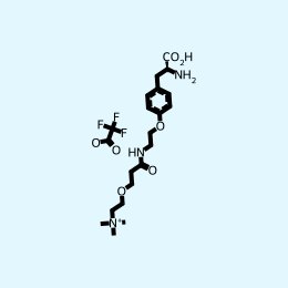 C[N+](C)(C)CCOCCC(=O)NCCOc1ccc(C[C@H](N)C(=O)O)cc1.O=C([O-])C(F)(F)F